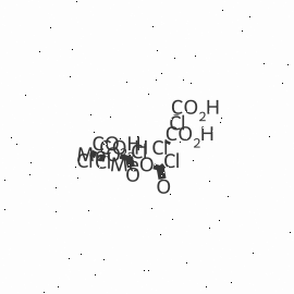 COC(=O)Cl.COC(=O)Cl.O=C(O)Cl.O=C(O)Cl.O=C(O)Cl.O=C(O)Cl